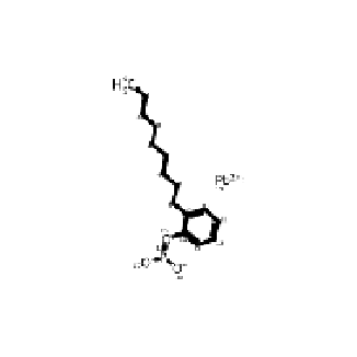 CCCCCCCCCc1ccccc1OP([O-])[O-].[Pb+2]